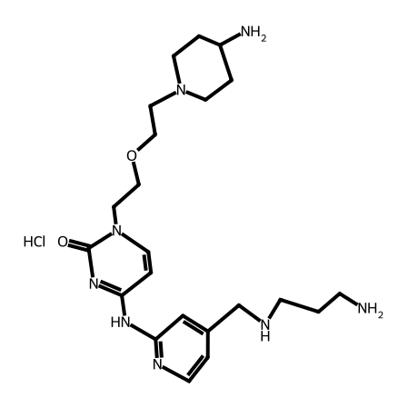 Cl.NCCCNCc1ccnc(Nc2ccn(CCOCCN3CCC(N)CC3)c(=O)n2)c1